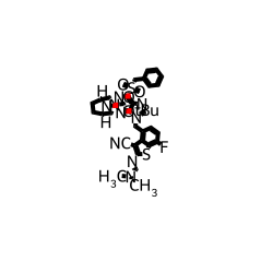 CN(C)/C=N/c1sc2c(F)ccc(Cn3cnc4c(S(=O)(=O)Cc5ccccc5)nc(N5[C@@H]6CC[C@H]5CN(C(=O)OC(C)(C)C)C6)nc43)c2c1C#N